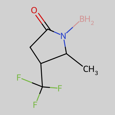 BN1C(=O)CC(C(F)(F)F)C1C